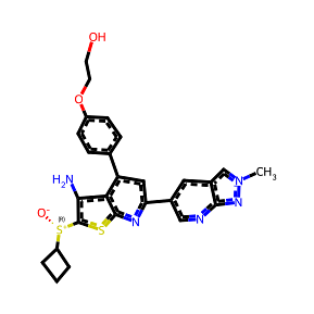 Cn1cc2cc(-c3cc(-c4ccc(OCCO)cc4)c4c(N)c([S@@+]([O-])C5CCC5)sc4n3)cnc2n1